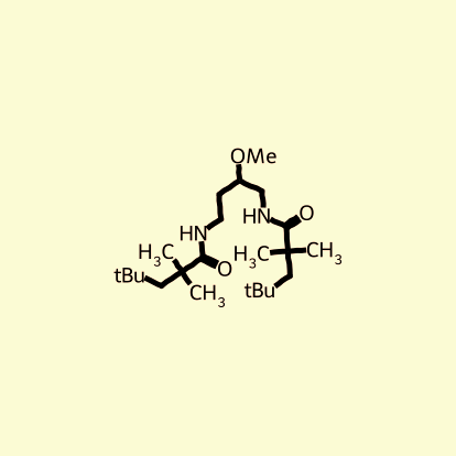 COC(CCNC(=O)C(C)(C)CC(C)(C)C)CNC(=O)C(C)(C)CC(C)(C)C